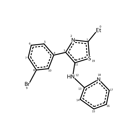 CCc1nc(-c2cccc(Br)c2)c(Nc2ccccn2)s1